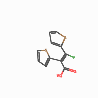 O=C(O)C(=C(F)c1cccs1)c1cccs1